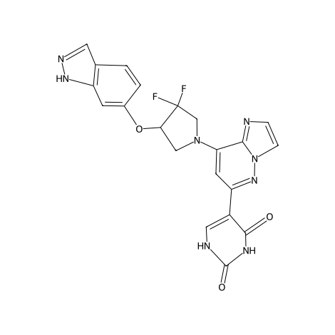 O=c1[nH]cc(-c2cc(N3CC(Oc4ccc5cn[nH]c5c4)C(F)(F)C3)c3nccn3n2)c(=O)[nH]1